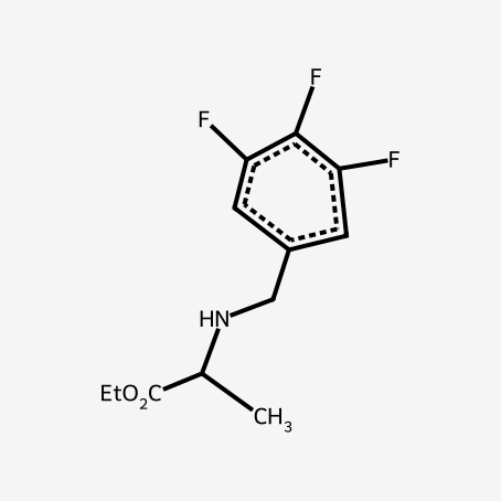 CCOC(=O)C(C)NCc1cc(F)c(F)c(F)c1